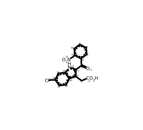 O=C(O)Cc1c(C(=O)c2ccccc2[N+](=O)[O-])[nH]c2cc(Cl)ccc12